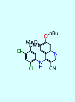 CCCCOc1cc2ncc(C#N)c(Nc3cc(OC)c(Cl)cc3Cl)c2cc1OC